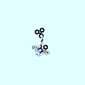 CCC1(C(=O)O)C(C)NC(C)C(CCOCCN2CCC(c3ccccc3)(c3ccccc3)CC2)(C(=O)O)[C@@H]1c1ccccc1OC(F)F